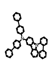 c1ccc(-c2ccc(N(c3ccc(-c4ccccc4)cc3)c3ccc4c(c3)c3ccccc3n4-c3ccccc3-c3ccccc3)cc2)cc1